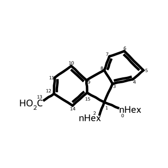 CCCCCCC1(CCCCCC)c2ccccc2-c2ccc(C(=O)O)cc21